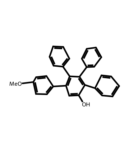 COc1ccc(-c2cc(O)c(-c3ccccc3)c(-c3ccccc3)c2-c2ccccc2)cc1